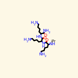 CC(C)NC(CCCCN)C(=O)NC(CCCCN)C(=O)NC(CCCCN)C(N)=O